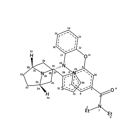 CCN(CC)C(=O)c1ccc2c(c1)Oc1ccccc1N2[C@H]1C[C@H]2CC[C@@H](C1)N2Cc1nccs1